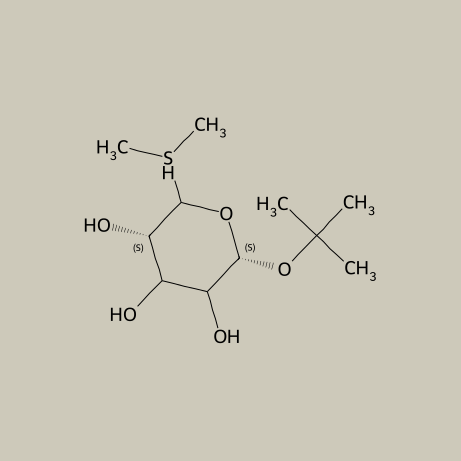 C[SH](C)C1O[C@H](OC(C)(C)C)C(O)C(O)[C@@H]1O